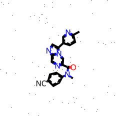 Cc1ccc(-c2cnc3cnc(C(=O)N(C)c4ccc(C#N)cc4)cn23)cn1